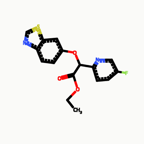 CCOC(=O)C(Oc1ccc2ncsc2c1)c1ccc(F)cn1